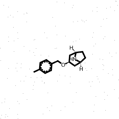 Cc1ccc(CO[C@H]2C[C@H]3CC[C@@H](C2)N3)cc1